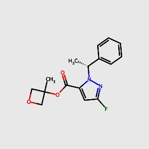 C[C@H](c1ccccc1)n1nc(F)cc1C(=O)OC1(C)COC1